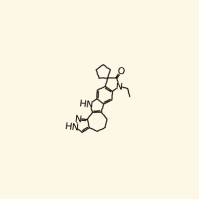 CCN1C(=O)C2(CCCC2)c2cc3[nH]c4c(c3cc21)CCCc1c[nH]nc1-4